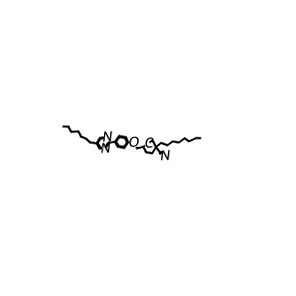 CCCCCCCCC1(C#N)CCC(COc2ccc(-c3ncc(CCCCCCC)cn3)cc2)CC1